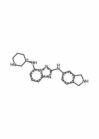 c1cc(N[C@@H]2CCCNC2)n2nc(Nc3ccc4c(c3)CNC4)nc2c1